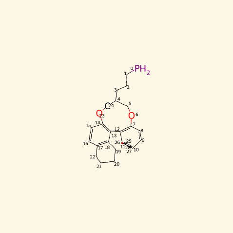 PCCCC1COc2ccc3c(c2-c2c(ccc4c2CCCC4)OC1)CCCC3